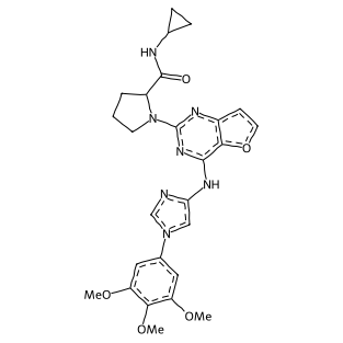 COc1cc(-n2cnc(Nc3nc(N4CCCC4C(=O)NC4CC4)nc4ccoc34)c2)cc(OC)c1OC